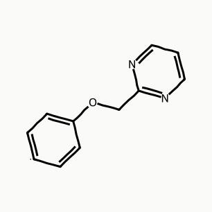 [c]1ccc(OCc2ncccn2)cc1